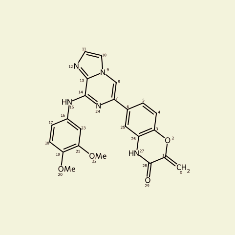 C=C1Oc2ccc(-c3cn4ccnc4c(Nc4ccc(OC)c(OC)c4)n3)cc2NC1=O